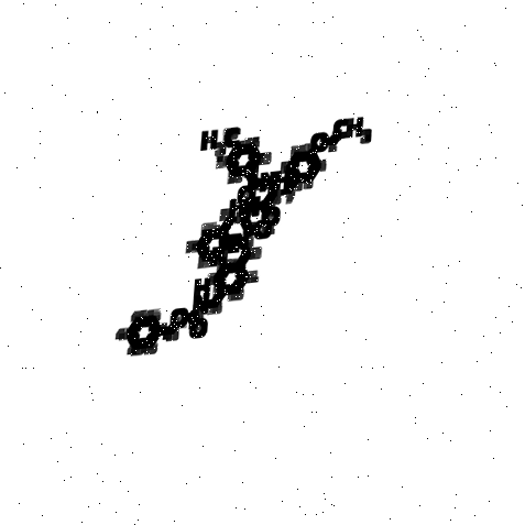 CCOc1ccc(C[C@@H](NC(=O)c2ccc(C)cc2)C(=O)N[C@@H](Cc2cccnc2)C(=O)NCc2ccc(CNC(=O)OCc3ccccc3)cc2)cc1